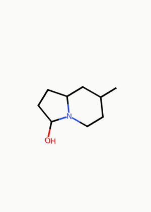 CC1CCN2C(O)CCC2C1